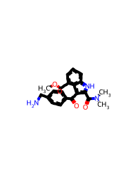 COC(=O)c1cccc2[nH]c(C(=O)N(C)C)c(C(=O)c3ccc(CN)cc3)c12